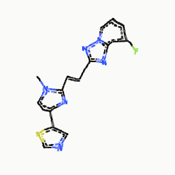 Cn1cc(-c2cncs2)nc1C=Cc1nc2c(F)cccn2n1